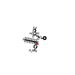 NC(=O)N1CCN(S(=O)(=O)C(F)(F)C(F)(F)C(F)(F)C(F)(F)C(F)(F)C(F)(F)C(F)(F)C(F)(F)F)CC1.O=C(CC(F)(F)F)N[C@@H](CCC(=O)OCc1ccccc1)C(=O)O